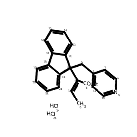 CC=C(C(=O)OCC)C1(Cc2ccncc2)c2ccccc2-c2ccccc21.Cl.Cl